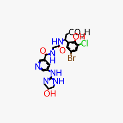 O=C(O)CC(NC(=O)CNC(=O)c1cncc(NC2=NCC(O)CN2)c1)c1cc(Br)cc(Cl)c1O